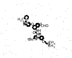 CC1CCCCN1c1nnc2ccc(O[C@@H]3CC[C@H](NC(=O)Nc4cc(C(C)(C)C)nn4-c4cc(OCCN(C)C)ccc4F)c4ccccc43)cn12.O=CO